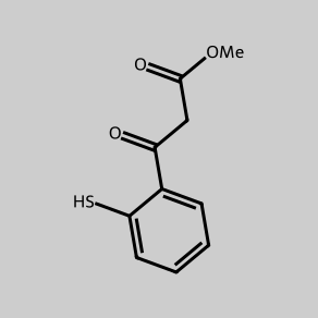 COC(=O)CC(=O)c1ccccc1S